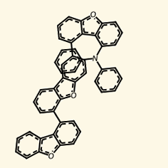 c1ccc(N(c2ccccc2)c2cccc3oc4cccc(-c5ccc6oc7c(-c8cccc9oc%10ccccc%10c89)cccc7c6c5)c4c23)cc1